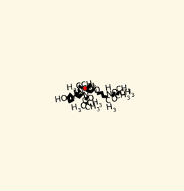 CC(CCCOc1cc(N(C(=O)OC(C)(C)C)c2cc([C@H]3CC[C@@H](O)C3)nn2C(C)(C)C)ccn1)NC(=O)OC(C)(C)C